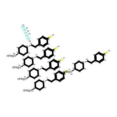 CCCCCCC[C@H]1CC[C@H](CCc2ccc([S])cc2)CC1.CCCCCCC[C@H]1CC[C@H](CCc2ccc([S])cc2)CC1.CCCCCCC[C@H]1CC[C@H](CCc2ccc([S])cc2)CC1.CCCCCCC[C@H]1CC[C@H](CCc2ccc([S])cc2)CC1.CCCCCCC[C@H]1CC[C@H](CCc2ccc([S])cc2)CC1.F.F.F.F.F